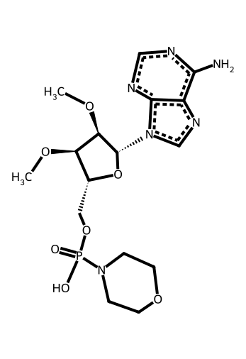 CO[C@@H]1[C@H](OC)[C@@H](COP(=O)(O)N2CCOCC2)O[C@H]1n1cnc2c(N)ncnc21